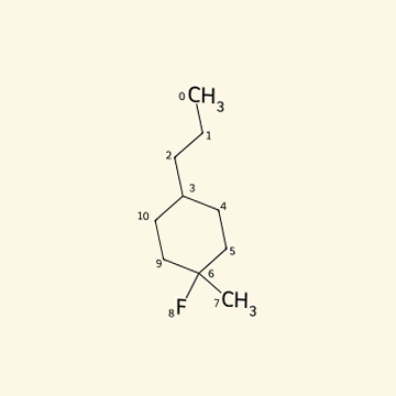 CCCC1CCC(C)(F)CC1